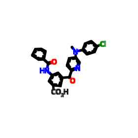 CN(c1ccc(Cl)cc1)c1ccc(C(=O)c2cc(NC(=O)c3ccccc3)cc(C(=O)O)c2)nc1